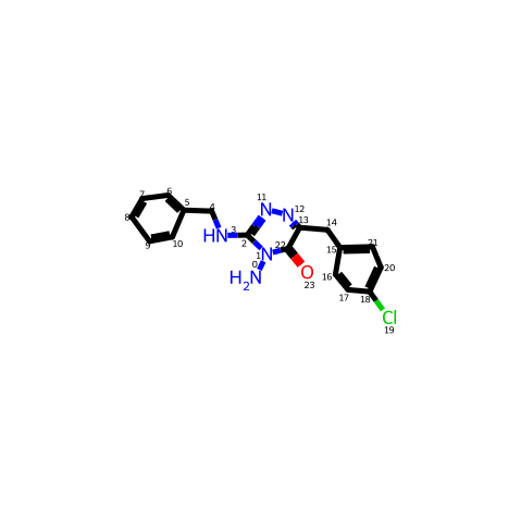 Nn1c(NCc2ccccc2)nnc(Cc2ccc(Cl)cc2)c1=O